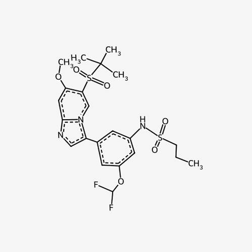 CCCS(=O)(=O)Nc1cc(OC(F)F)cc(-c2cnc3cc(OC)c(S(=O)(=O)C(C)(C)C)cn23)c1